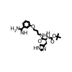 CC(C)(C)OC(=O)N[C@@H](Cc1c[nH]cn1)C(=O)NCCCOc1cccc(C(=N)N)c1